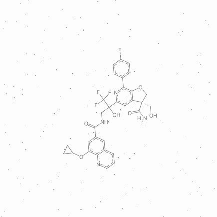 NC(=O)[C@]1(CO)COc2c1cc(C(O)(CNC(=O)c1cc(OC3CC3)c3ncccc3c1)C(F)(F)F)nc2-c1ccc(F)cc1